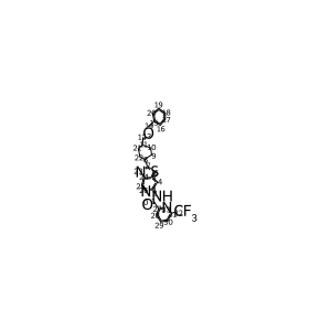 O=C(Nc1cc2sc(C3CCC(COCc4ccccc4)CC3)nc2cn1)c1cccc(C(F)(F)F)n1